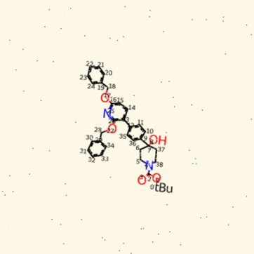 CC(C)(C)OC(=O)N1CCC(O)(c2ccc(-c3ccc(OCc4ccccc4)nc3OCc3ccccc3)cc2)CC1